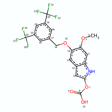 COc1cc2[nH]c(OC(=O)O)cc2cc1OCc1cc(C(F)(F)F)cc(C(F)(F)F)c1